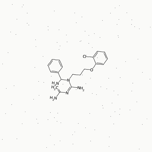 C=C(N)/N=C(/N)N(CCCOc1ccccc1Cl)C(N)c1ccccc1